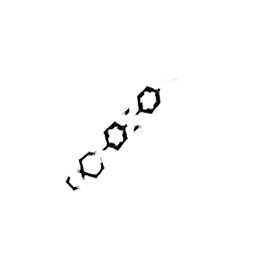 Cc1ccc(S(=O)(=O)c2ccc(N3CCC4(CC3)OCCO4)cc2)cc1